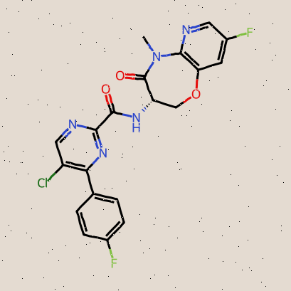 CN1C(=O)[C@@H](NC(=O)c2ncc(Cl)c(-c3ccc(F)cc3)n2)COc2cc(F)cnc21